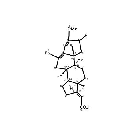 CCC1=C2C=C(OC)C(F)C[C@]2(C)[C@H]2CC[C@]3(C)C(=CC(=O)O)CC[C@H]3[C@@H]2C1